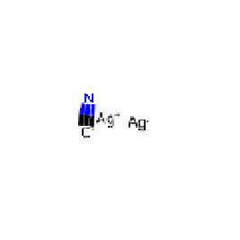 [Ag+].[Ag].[C-]#N